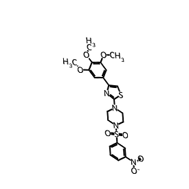 COc1cc(-c2csc(N3CCN(S(=O)(=O)c4cccc([N+](=O)[O-])c4)CC3)n2)cc(OC)c1OC